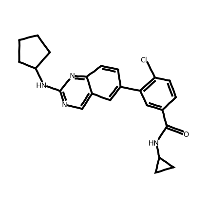 O=C(NC1CC1)c1ccc(Cl)c(-c2ccc3nc(NC4CCCC4)ncc3c2)c1